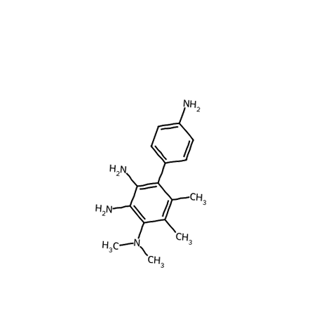 Cc1c(C)c(N(C)C)c(N)c(N)c1-c1ccc(N)cc1